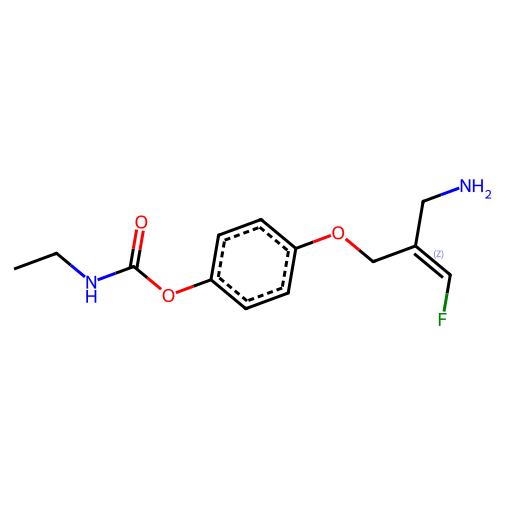 CCNC(=O)Oc1ccc(OC/C(=C\F)CN)cc1